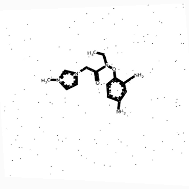 CCN(Oc1ccc(N)cc1N)C(=O)C[n+]1ccn(C)c1